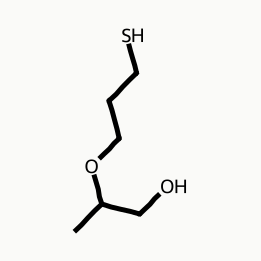 CC(CO)OCCCS